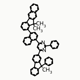 CC1(C)c2cc3ccccc3cc2-c2cccc(-c3ccc(-c4cc(-c5ccc6c(c5)C(C)(c5ccccc5)c5ccccc5-6)nc(-c5ccccc5)n4)c4ccccc34)c21